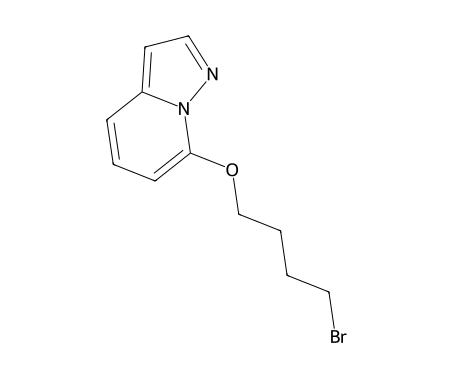 BrCCCCOc1cccc2ccnn12